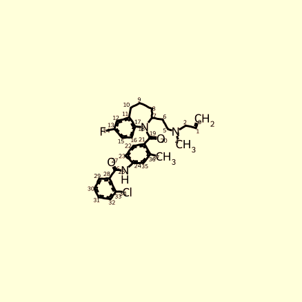 C=CCN(C)CCC1CCCc2cc(F)ccc2N1C(=O)c1ccc(NC(=O)c2ccccc2Cl)cc1C